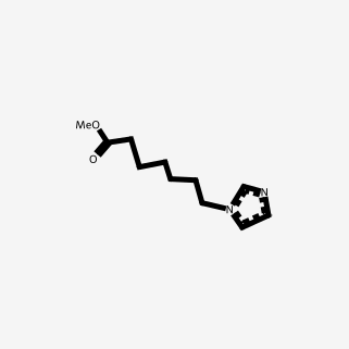 COC(=O)CCCCCCn1c[c]nc1